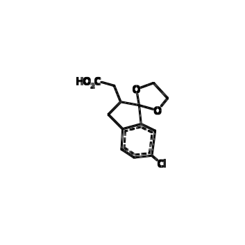 O=C(O)CC1Cc2ccc(Cl)cc2C12OCCO2